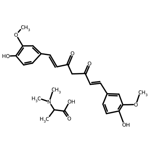 CC(C(=O)O)N(C)C.COc1cc(C=CC(=O)CC(=O)C=Cc2ccc(O)c(OC)c2)ccc1O